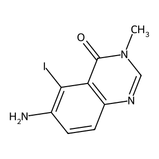 Cn1cnc2ccc(N)c(I)c2c1=O